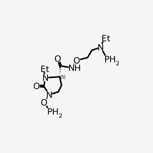 CCN(P)CCONC(=O)[C@@H]1CCN(OP)C(=O)N1CC